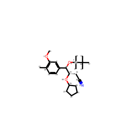 COc1cc([C@@H](O[Si](C)(C)C(C)(C)C)[C@H](CC#N)OC2CCCC2)ccc1C